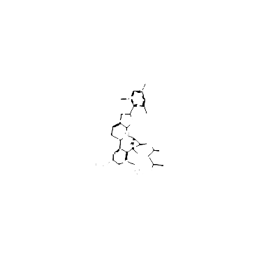 COC(C)CC(C)OC1C2(C)C3=C(C)C[C@@H](C(C)(C)C)C=C3C3CC=C4CC(c5c(C)cc(C)cc5C)SC4N3C12C